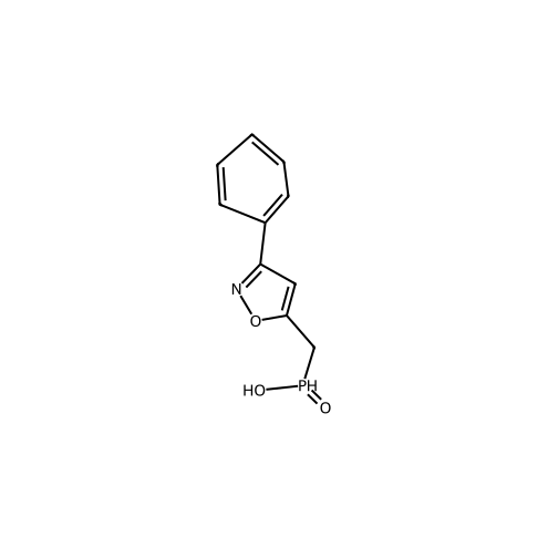 O=[PH](O)Cc1cc(-c2ccccc2)no1